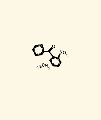 B.F.O=C(c1ccccc1)c1ccccc1[N+](=O)[O-]